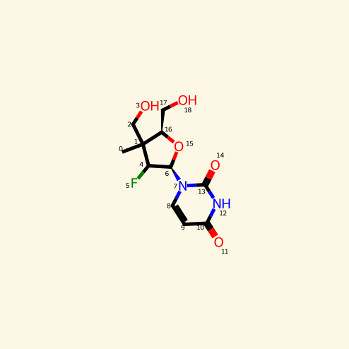 CC1(CO)C(F)[C@H](n2ccc(=O)[nH]c2=O)O[C@@H]1CO